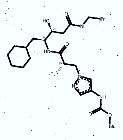 CC(C)CNC(=O)C[C@H](O)[C@H](CC1CCCCC1)NC(=O)[C@@H](N)Cn1cc(NC(=O)OC(C)(C)C)cn1